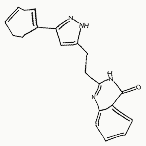 O=c1[nH]c(CCc2cc(C3=CC=CCC3)n[nH]2)nc2ccccc12